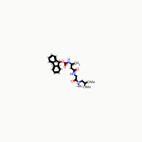 CCC(C)N(CC(OC)OC)C(=O)CNC(=O)CC(C)NC(=O)OC1c2ccccc2-c2ccccc21